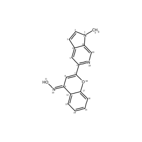 Cn1ccc2cc(-c3c/c(=N\O)c4ccccc4o3)ncc21